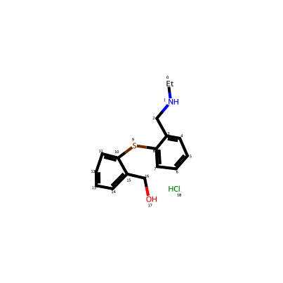 CCNCc1ccccc1Sc1ccccc1CO.Cl